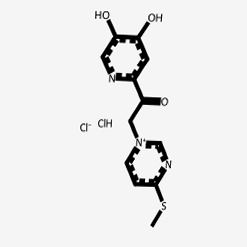 CSc1cc[n+](CC(=O)c2cc(O)c(O)cn2)cn1.Cl.[Cl-]